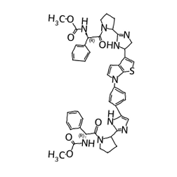 COC(=O)N[C@@H](C(=O)N1CCCC1C1=NCC(c2csc3c2ccn3-c2ccc(-c3cnc(C4CCCN4C(=O)[C@H](NC(=O)OC)c4ccccc4)[nH]3)cc2)N1)c1ccccc1